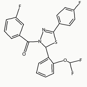 O=C(c1cccc(F)c1)N1N=C(c2ccc(F)cc2)SC1c1ccccc1OC(F)F